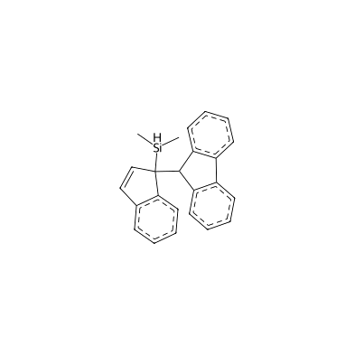 C[SiH](C)C1(C2c3ccccc3-c3ccccc32)C=Cc2ccccc21